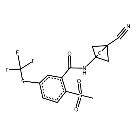 CS(=O)(=O)c1ccc(SC(F)(F)F)cc1C(=O)NC12CC(C#N)(C1)C2